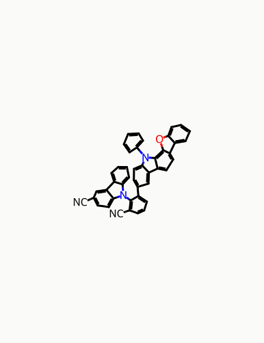 N#Cc1ccc2c(c1)c1ccccc1n2-c1c(C#N)cccc1-c1ccc2c(c1)c1ccc3c4ccccc4oc3c1n2-c1ccccc1